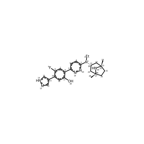 CCN(c1ccc(-c2cc(F)c(-c3cn[nH]c3)cc2O)nn1)[C@@H]1C[C@]2(C)CC[C@](C)(C1)N2